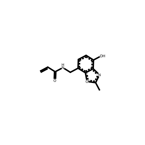 C=CC(=O)NCc1ccc(O)c2nc(C)oc12